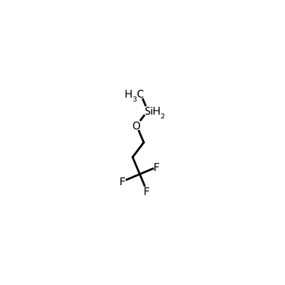 C[SiH2]OCCC(F)(F)F